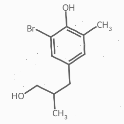 Cc1cc(CC(C)CO)cc(Br)c1O